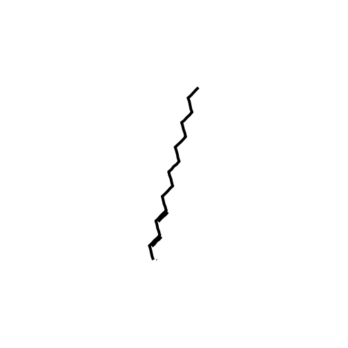 [CH2]/C=C/C=C/CCCCCCCCCC